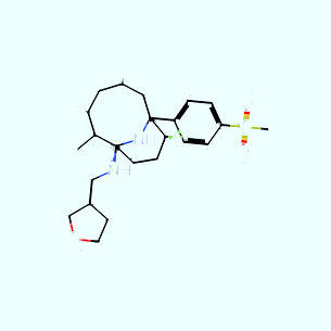 CC1CCCCC2(c3ccc(S(C)(=O)=O)cc3)NC1(NCC1CCOC1)CCC2F